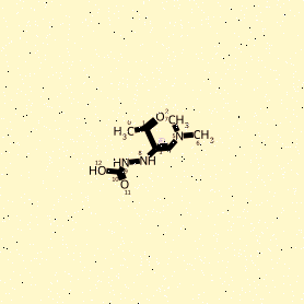 CC(=O)/C(=C\N(C)C)NNC(=O)O